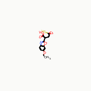 CCOc1ccc2nc(C(CC(=O)S)C(=O)O)oc2c1